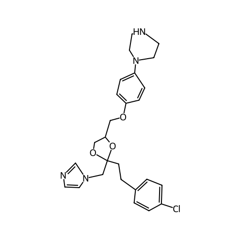 Clc1ccc(CCC2(Cn3ccnc3)OCC(COc3ccc(N4CCNCC4)cc3)O2)cc1